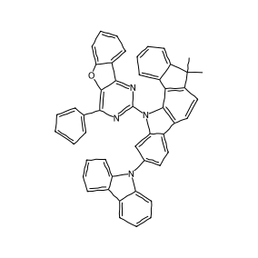 CC1(C)c2ccccc2-c2c1ccc1c3ccc(-n4c5ccccc5c5ccccc54)cc3n(-c3nc(-c4ccccc4)c4oc5ccccc5c4n3)c21